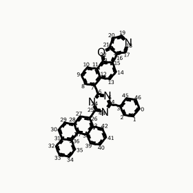 c1ccc(-c2nc(-c3cccc4c3ccc3c5cnccc5oc43)nc(-c3cc4ccc5ccccc5c4c4ccccc34)n2)cc1